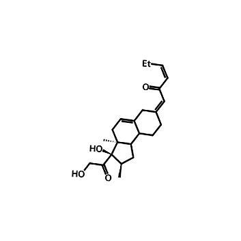 CC/C=C\C(=O)/C=C1/CCC2C(=CC[C@@]3(C)C2C[C@@H](C)[C@]3(O)C(=O)CO)C1